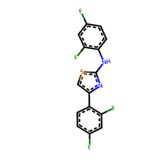 Fc1ccc(Nc2nc(-c3ccc(F)cc3F)cs2)c(F)c1